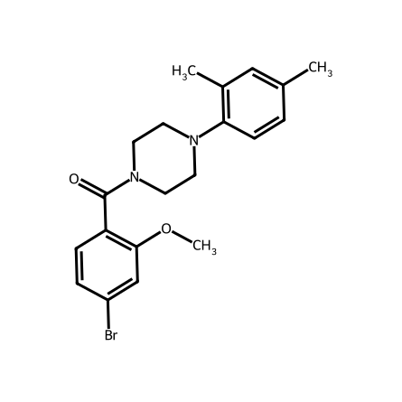 COc1cc(Br)ccc1C(=O)N1CCN(c2ccc(C)cc2C)CC1